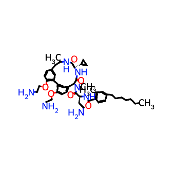 CCCCCCCc1ccc(C(=O)N[C@@H](CCN)C(=O)N(C)C2C(=O)N[C@@H](C3CC3)C(=O)NC(C)Cc3ccc(OCCN)c(c3)-c3cc2ccc3OCCN)c(C)c1